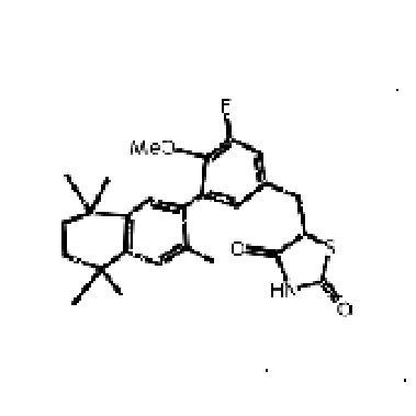 COc1c(F)cc(CC2SC(=O)NC2=O)cc1-c1cc2c(cc1C)C(C)(C)CCC2(C)C